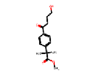 COC(=O)C(C)(C)c1ccc(C(=O)CCCO)cc1